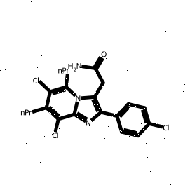 CCCc1c(Cl)c(CCC)n2c(CC(N)=O)c(-c3ccc(Cl)cc3)nc2c1Cl